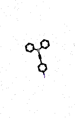 Ic1ccc(C#CB(c2ccccc2)c2ccccc2)cc1